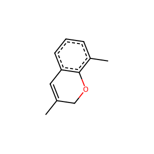 CC1=Cc2cccc(C)c2OC1